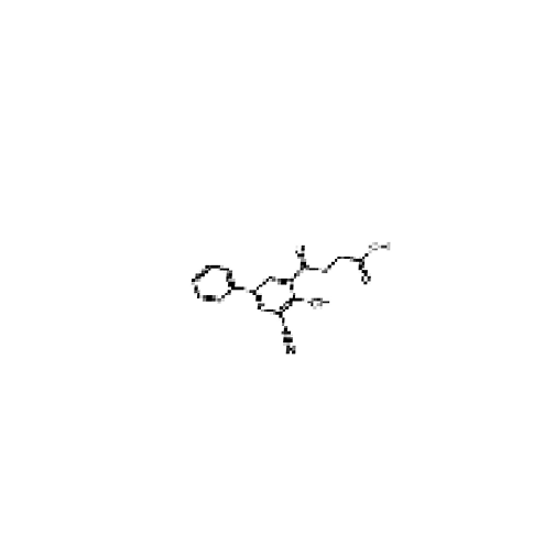 N#Cc1cc(-c2ccccc2)cc(C(=O)CCC(=O)O)c1O